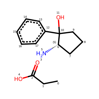 CCC(=O)O.N[C@H]1CCCC1(O)c1ccccc1